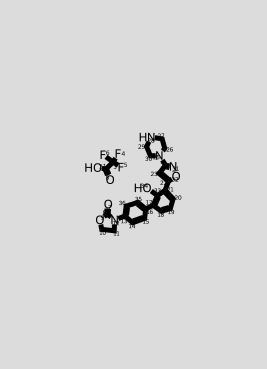 O=C(O)C(F)(F)F.O=C1OCCN1c1ccc(-c2cccc(-c3cc(N4CCNCC4)no3)c2O)cc1